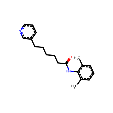 Cc1cccc(C)c1NC(=O)CCCCCc1cccnc1